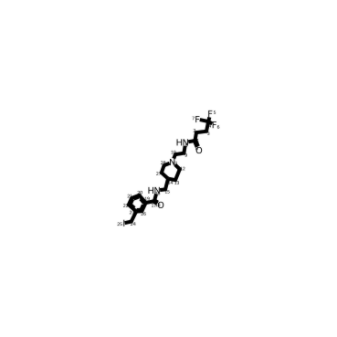 O=C(CCC(F)(F)F)NCCN1CCC(CNC(=O)c2cccc(CI)c2)CC1